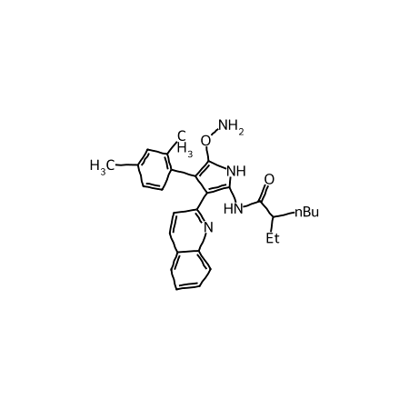 CCCCC(CC)C(=O)Nc1[nH]c(ON)c(-c2ccc(C)cc2C)c1-c1ccc2ccccc2n1